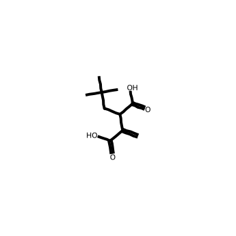 C=C(C(=O)O)C(CC(C)(C)C)C(=O)O